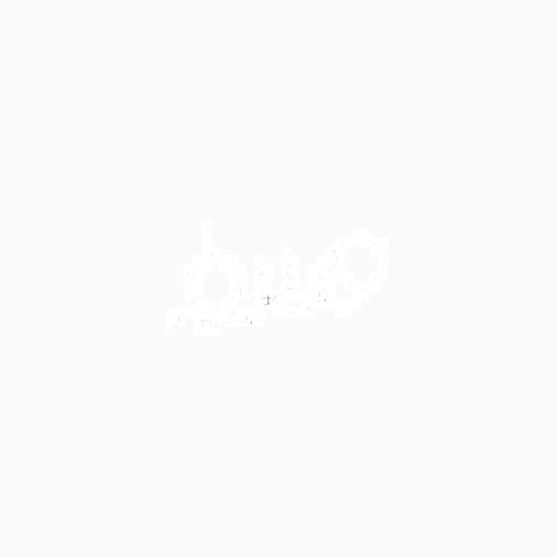 CC(C)(C)NC(=O)CN1CC2COCC(C1)C2CC(=O)Nc1cc(F)cc(Cl)c1